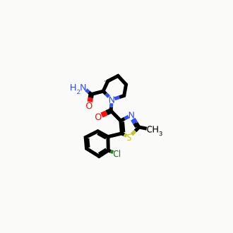 Cc1nc(C(=O)N2CCC[CH]C2C(N)=O)c(-c2ccccc2Cl)s1